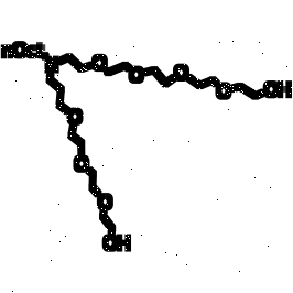 CCCCCCCCN(CCCOCCOCCOCCO)CCOCCOCCOCCOCCO